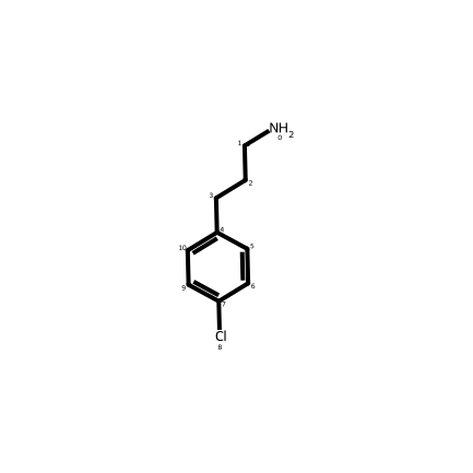 N[CH]CCc1ccc(Cl)cc1